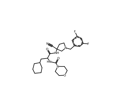 N#CC1(NC(=O)C(CC2CCCCC2)NC(=O)N2CCOCC2)CCN(Cc2cc(F)cc(F)c2)C1